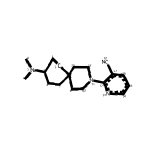 CN(C)C1CCC2(CC1)CCN(c1ncccc1C#N)CC2